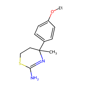 CCOc1ccc(C2(C)CCSC(N)=N2)cc1